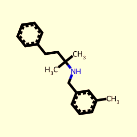 Cc1cccc(CNC(C)(C)CCc2ccccc2)c1